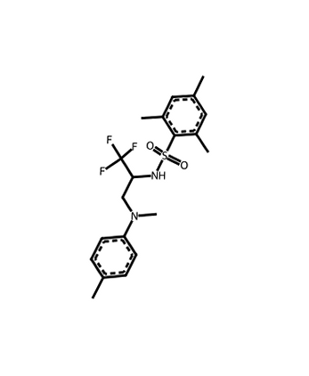 Cc1ccc(N(C)CC(NS(=O)(=O)c2c(C)cc(C)cc2C)C(F)(F)F)cc1